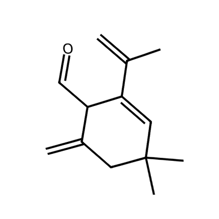 C=C(C)C1=CC(C)(C)CC(=C)C1C=O